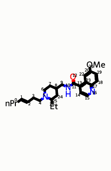 CCCC=CCCN1CCC(CNC(=O)c2ccnc3ccc(OC)cc23)CC1CC